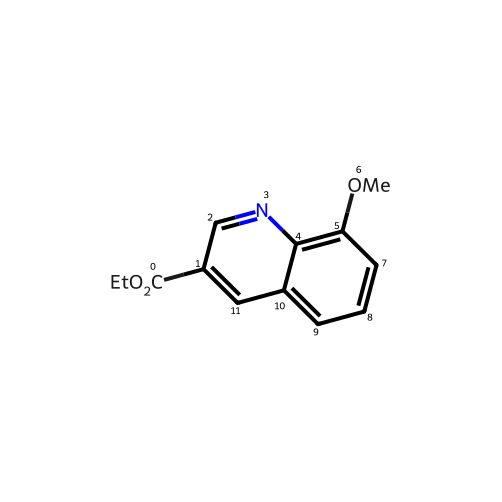 CCOC(=O)c1cnc2c(OC)cccc2c1